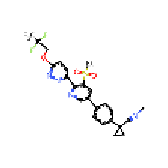 CCS(=O)(=O)c1cc(-c2ccc(C3(C#[N+]C)CC3)cc2)cnc1-c1ccc(OCC(F)(F)C(F)(F)F)nn1